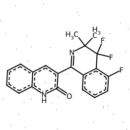 CC1(C)N=C(c2cc3ccccc3[nH]c2=O)c2cccc(F)c2C1(F)F